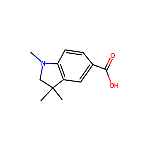 CN1CC(C)(C)c2cc(C(=O)O)ccc21